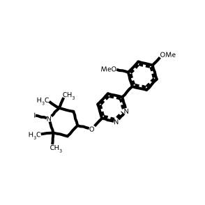 COc1ccc(-c2ccc(OC3CC(C)(C)N(I)C(C)(C)C3)nn2)c(OC)c1